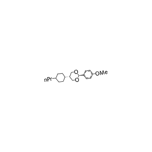 CCCC1CCC([C@H]2CO[C@H](c3ccc(OC)cc3)OC2)CC1